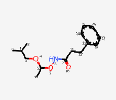 CC(C)COC(C)ONC(=O)CCc1ccccc1